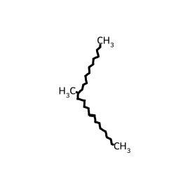 CCCCCCCCC=CCCCCC(C)CCCCCCCCCCCC